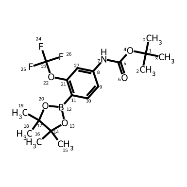 CC(C)(C)OC(=O)Nc1ccc(B2OC(C)(C)C(C)(C)O2)c(OC(F)(F)F)c1